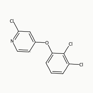 Clc1cc(Oc2cccc(Cl)c2Cl)[c]cn1